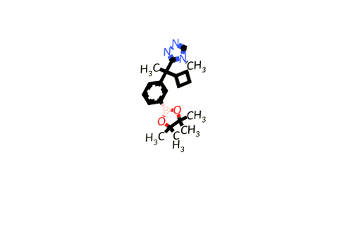 Cn1cnnc1C(C)(c1cccc(B2OC(C)(C)C(C)(C)O2)c1)C1CCC1